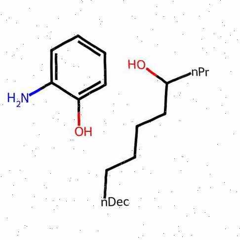 CCCCCCCCCCCCCCC(O)CCC.Nc1ccccc1O